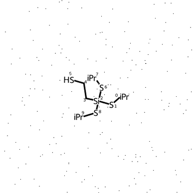 CC(C)S[Si](CCS)(SC(C)C)SC(C)C